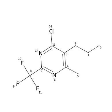 CCCc1c(C)nc(C(F)(F)F)nc1Cl